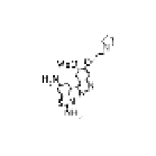 COc1cc2c(-c3cc(N)cc4sc(N)nc34)ncnc2cc1OCCCN1CCCC1